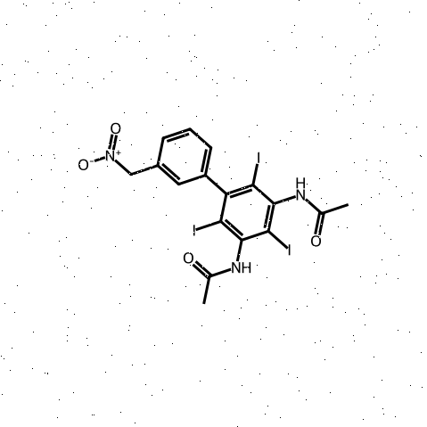 CC(=O)Nc1c(I)c(NC(C)=O)c(I)c(-c2cccc(C[N+](=O)[O-])c2)c1I